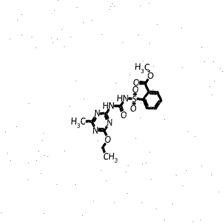 CCOc1nc(C)nc(NC(=O)NS(=O)(=O)c2ccccc2C(=O)OC)n1